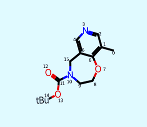 Cc1cncc2c1OCCN(C(=O)OC(C)(C)C)C2